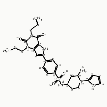 CCCn1c(=O)c2[nH]c(-c3ccc(S(=O)(=O)NC4CCN(c5cccs5)C(C)C4)cc3)cc2n(CCC)c1=O